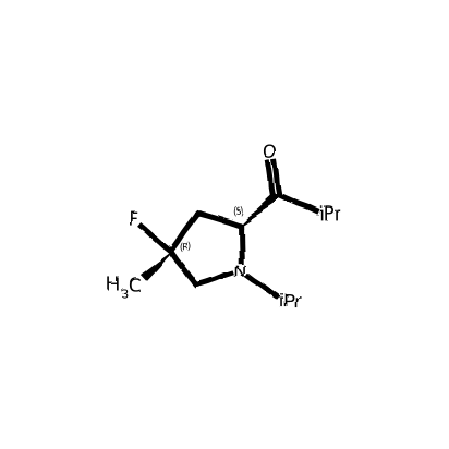 CC(C)C(=O)[C@@H]1C[C@@](C)(F)CN1C(C)C